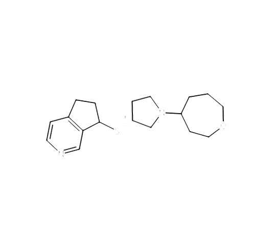 c1cc2c(cn1)C(S[C@@H]1CCN(C3CCCOCC3)C1)CC2